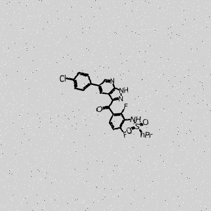 CCCS(=O)(=O)Nc1c(F)ccc(C(=O)c2n[nH]c3ncc(-c4ccc(Cl)cc4)cc23)c1F